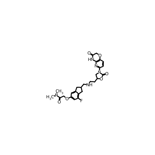 CN(C)C(=O)COc1cc(F)c2c(c1)CC(CNCCC1CN(c3ccc4c(n3)NC(=O)CO4)C(=O)O1)C2